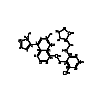 Cc1cc(-c2ccnn2C)c2cccc(OCc3c(Cl)cncc3SC[C@H]3CCCO3)c2n1